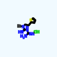 CCN(CCc1cccs1)C(=N)NC(=N)N.Cl